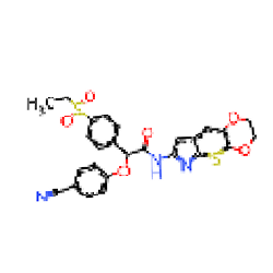 CCS(=O)(=O)c1ccc(C(Oc2ccc(C#N)cc2)C(=O)Nc2cc3cc4c(sc-3n2)OCCO4)cc1